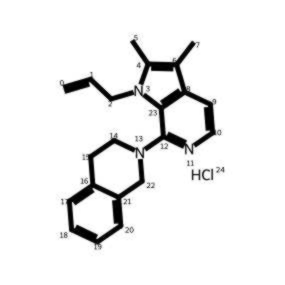 C=CCn1c(C)c(C)c2ccnc(N3CCc4ccccc4C3)c21.Cl